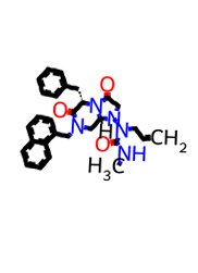 C=CCN(C(=O)NC)N1CC(=O)N2[C@@H](Cc3ccccc3)C(=O)N(Cc3cccc4ccccc34)C[C@@H]21